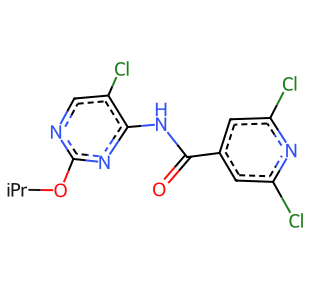 CC(C)Oc1ncc(Cl)c(NC(=O)c2cc(Cl)nc(Cl)c2)n1